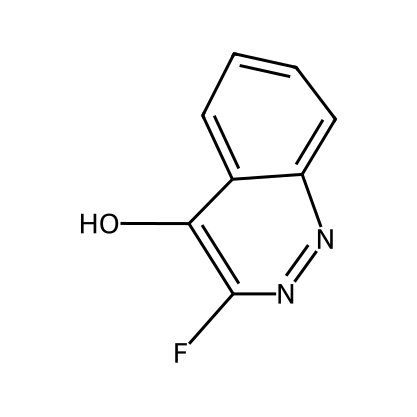 Oc1c(F)nnc2ccccc12